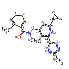 CC1=CCCC=C1C(=O)N(C=O)Cc1cc(-c2cnc(C(F)(F)F)nc2)nc(C2CC2)c1